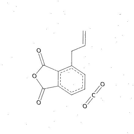 C=CCc1cccc2c1C(=O)OC2=O.O=C=O